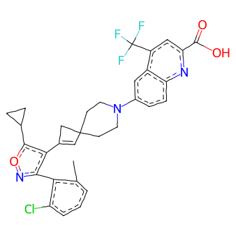 Cc1cccc(Cl)c1-c1noc(C2CC2)c1C1=CC2(CCN(c3ccc4nc(C(=O)O)cc(C(F)(F)F)c4c3)CC2)C1